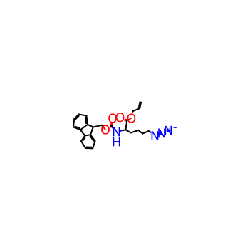 C=CCOC(=O)C(CCCCN=[N+]=[N-])NC(=O)OCC1c2ccccc2-c2ccccc21